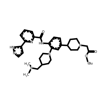 CN(C)CC1CCN(c2cc(C3CCN(CC(=O)OC(C)(C)C)CC3)ccc2NC(=O)c2cccc(-c3ccn[nH]3)n2)CC1